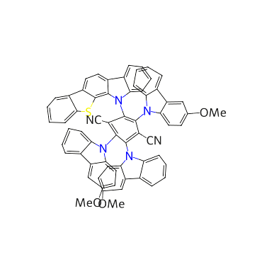 COc1ccc2c(c1)c1ccccc1n2-c1c(C#N)c(-n2c3ccccc3c3cc(OC)ccc32)c(-n2c3ccccc3c3ccc4c5ccccc5sc4c32)c(C#N)c1-n1c2ccccc2c2cc(OC)ccc21